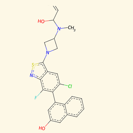 C=CC(O)N(C)C1CN(c2snc3c(F)c(-c4cc(O)cc5ccccc45)c(Cl)cc23)C1